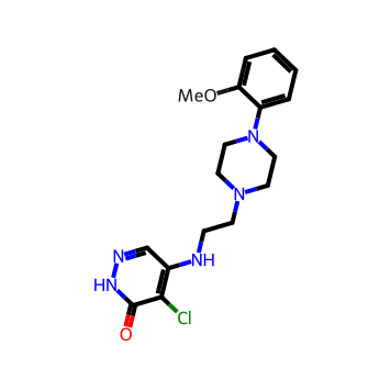 COc1ccccc1N1CCN(CCNc2cn[nH]c(=O)c2Cl)CC1